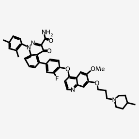 COc1cc2c(Oc3ccc(-c4cccc5c4c(=O)c(C(N)=O)nn5-c4ccc(C)cc4C)cc3F)ccnc2cc1OCCCN1CCC(C)CC1